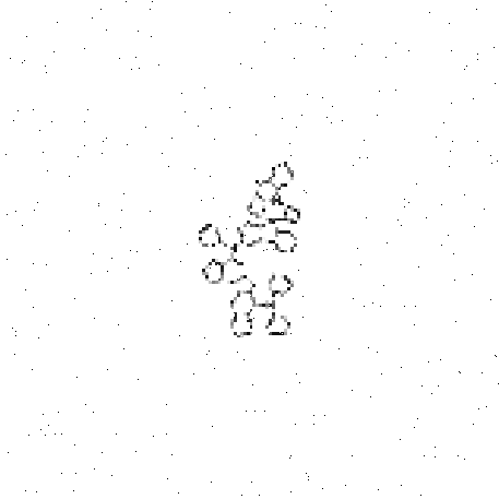 c1ccc(N(c2ccc3c(c2)-c2ccccc2C32c3ccccc3N3c4ccccc4Sc4cccc2c43)c2cc3sc4c(N(c5ccccc5)c5ccccc5)c5ccccc5cc4c3c3ccccc23)cc1